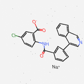 O=C(Nc1ccc(Cl)cc1C(=O)[O-])c1cccc(-c2cncc3ccccc23)c1.[Na+]